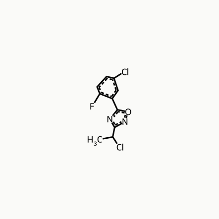 CC(Cl)c1noc(-c2cc(Cl)ccc2F)n1